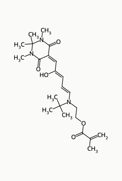 C=C(C)C(=O)OCCN(/C=C/C=C(\O)C=C1C(=O)N(C)C(C)(C)N(C)C1=O)C(C)(C)C